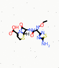 CCON=C(C(=O)NC1C(=O)N2C(C(=O)O)=CCS[C@@H]12)c1nsc(N)n1